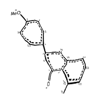 COc1ccc(-c2cc(=O)n3c(C)cccc3n2)cc1